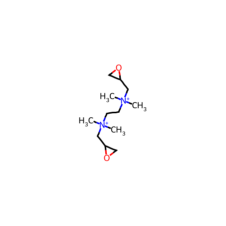 C[N+](C)(CC[N+](C)(C)CC1CO1)CC1CO1